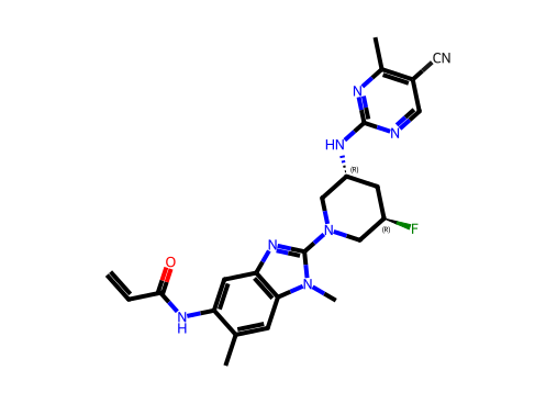 C=CC(=O)Nc1cc2nc(N3C[C@H](F)C[C@@H](Nc4ncc(C#N)c(C)n4)C3)n(C)c2cc1C